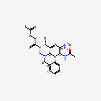 C=C(C)CCC(=C)CCN(Cc1ccccc1)C1CC(NC(C)=O)=C(N)C=C1CC